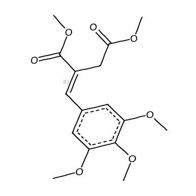 COC(=O)C/C(=C\c1cc(OC)c(OC)c(OC)c1)C(=O)OC